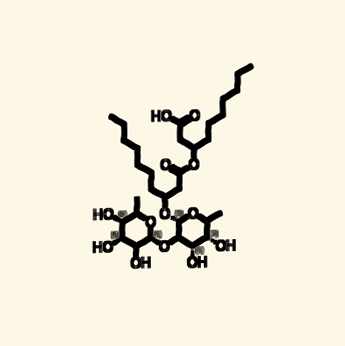 CCCCCCCC(CC(=O)O)OC(=O)CC(CCCCCCC)O[C@@H]1OC(C)[C@H](O)[C@H](O)C1O[C@@H]1OC(C)[C@H](O)[C@H](O)C1O